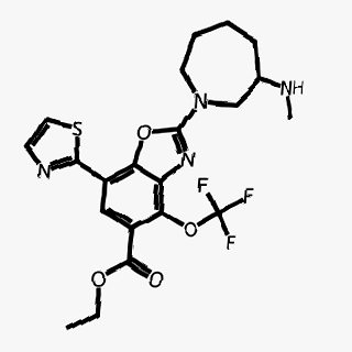 CCOC(=O)c1cc(-c2nccs2)c2oc(N3CCCCC(NC)C3)nc2c1OC(F)(F)F